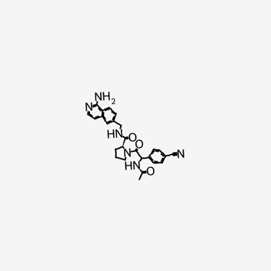 CC(=O)NC(C(=O)N1CCC[C@H]1C(=O)NCc1ccc2c(N)nccc2c1)c1ccc(C#N)cc1